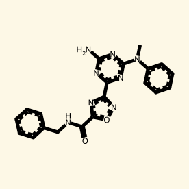 CN(c1ccccc1)c1nc(N)nc(-c2noc(C(=O)NCc3ccccc3)n2)n1